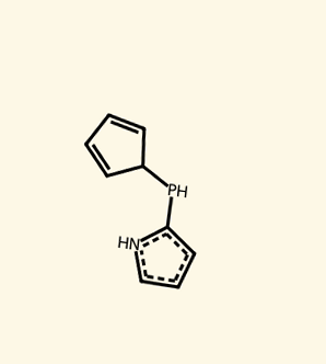 C1=CC(Pc2ccc[nH]2)C=C1